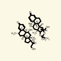 CC1(C)O[C@@H]2C[C@H]3[C@@H]4CCC5=CC(=O)C=C[C@]5(C)[C@@]4(F)[C@@H](O)C[C@]3(C)[C@]2(C(=O)CO)O1.C[C@H]1C[C@@H]2[C@H]([C@@H](O)C[C@@]3(C)[C@H]2CC[C@]3(O)C(=O)CO)[C@@]2(C)C=CC(=O)C=C12